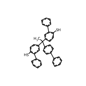 CC(c1ccc(-c2ccccc2)cc1)(c1ccc(S)c(-c2ccccc2)c1)c1ccc(S)c(-c2ccccc2)c1